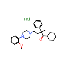 COc1ccccc1N1CCN(CCC(C)(C(=O)C2CCCCC2)c2ccccc2)CC1.Cl